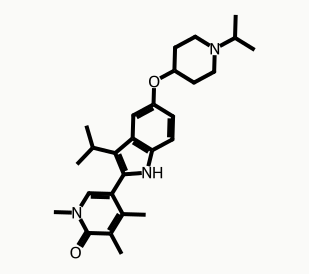 Cc1c(-c2[nH]c3ccc(OC4CCN(C(C)C)CC4)cc3c2C(C)C)cn(C)c(=O)c1C